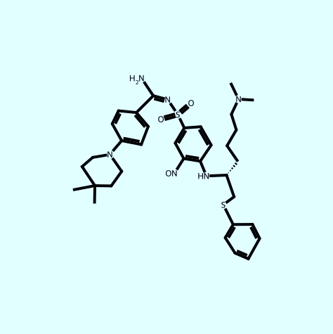 CN(C)CCCC[C@H](CSc1ccccc1)Nc1ccc(S(=O)(=O)/N=C(/N)c2ccc(N3CCC(C)(C)CC3)cc2)cc1N=O